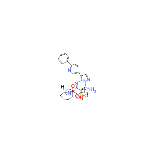 CS(=O)(=O)c1c([C@@H]2CC3CC[C@@H](C2)N3C(=O)C(O)C(F)(F)F)nc2c(-c3ccc(-c4ccccc4)nc3)cnn2c1N